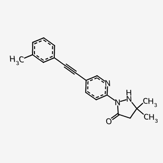 Cc1cccc(C#Cc2ccc(N3NC(C)(C)CC3=O)nc2)c1